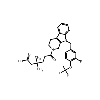 CC(C)(CCC(=O)N1CCc2c(n(Cc3ccc(OC(F)(F)F)c(F)c3)c3ncccc23)C1)CC(=O)O